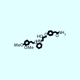 COc1ccc(CCO[C@@H]2CCCC[C@H]2NC[C@@H](O)COc2ccc(CC(N)=O)cc2)cc1OC